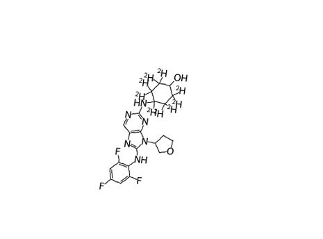 [2H]C1([2H])C(O)C([2H])([2H])C([2H])([2H])C([2H])(Nc2ncc3nc(Nc4c(F)cc(F)cc4F)n(C4CCOC4)c3n2)C1([2H])[2H]